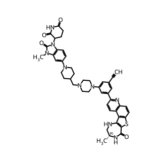 C#Cc1cc(-c2ccc3c(ccc4sc5c(c43)NC[C@@H](C)NC5=O)n2)cc(N2CCN(CC3CCN(c4ccc5c(c4)n(C)c(=O)n5C4CCC(=O)NC4=O)CC3)CC2)c1